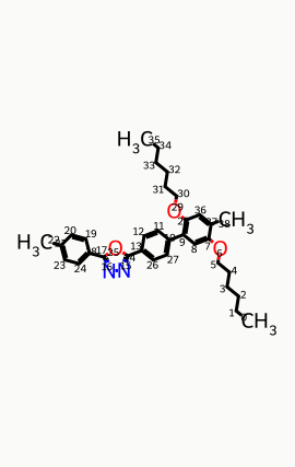 CCCCCCOc1cc(-c2ccc(-c3nnc(-c4ccc(C)cc4)o3)cc2)c(OCCCCCC)cc1C